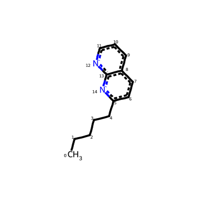 CCCCCc1ccc2cccnc2n1